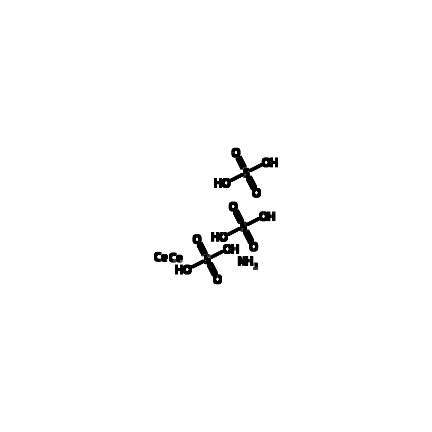 N.O=S(=O)(O)O.O=S(=O)(O)O.O=S(=O)(O)O.[Ce].[Ce]